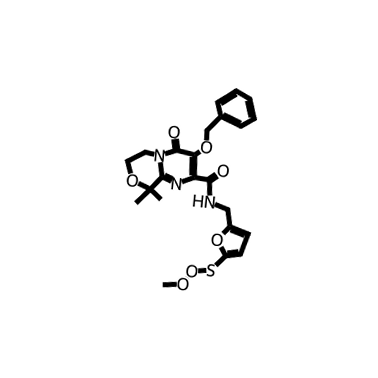 COOSc1ccc(CNC(=O)c2nc3n(c(=O)c2OCc2ccccc2)CCOC3(C)C)o1